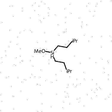 CO[SiH](CCC(C)C)CCC(C)C